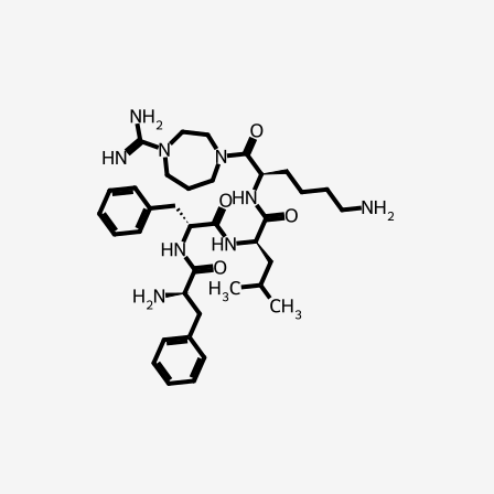 CC(C)C[C@@H](NC(=O)[C@@H](Cc1ccccc1)NC(=O)[C@H](N)Cc1ccccc1)C(=O)N[C@H](CCCCN)C(=O)N1CCCN(C(=N)N)CC1